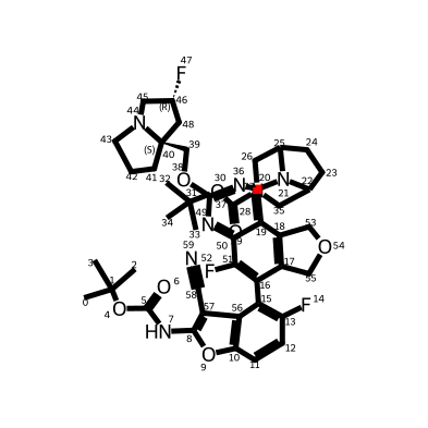 CC(C)(C)OC(=O)Nc1oc2ccc(F)c(-c3c4c(c5c(N6C7CCC6CN(C(=O)OC(C)(C)C)C7)nc(OC[C@@]67CCCN6C[C@H](F)C7)nc5c3F)COC4)c2c1C#N